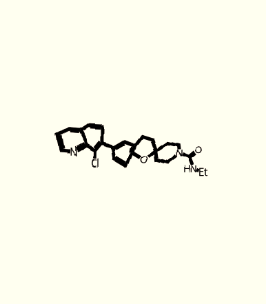 CCNC(=O)N1CCC2(CCc3cc(-c4ccc5cccnc5c4Cl)ccc3O2)CC1